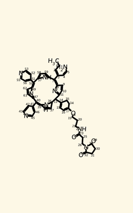 CC/C=C(\C=C/N)C1=C2/C=CC(=N2)C(C2=CC=C(OCCCNC(=O)CCN3C(=O)CCC3=O)CC2)C2C=C/C(=C(\c3ccncc3)C3=N/C(=C(/c4ccncc4)c4ccc\1[nH]4)C=C3)N2